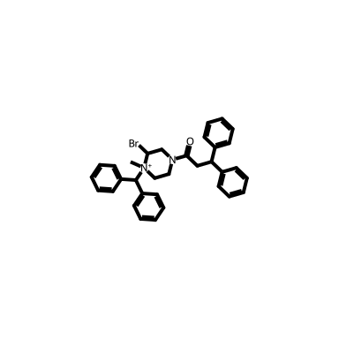 C[N+]1(C(c2ccccc2)c2ccccc2)CCN(C(=O)CC(c2ccccc2)c2ccccc2)CC1Br